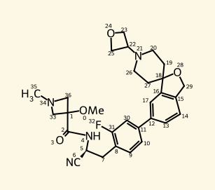 COC1(C(=O)N[C@H](C#N)Cc2ccc(-c3ccc4c(c3)C3(CCN(C5COC5)CC3)OC4)cc2F)CN(C)C1